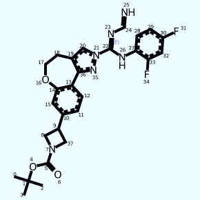 CC(C)(C)OC(=O)N1CC(c2ccc3c(c2)OCCc2cn(/C(=N/C=N)Nc4ccc(F)cc4F)nc2-3)C1